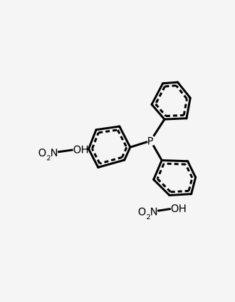 O=[N+]([O-])O.O=[N+]([O-])O.c1ccc(P(c2ccccc2)c2ccccc2)cc1